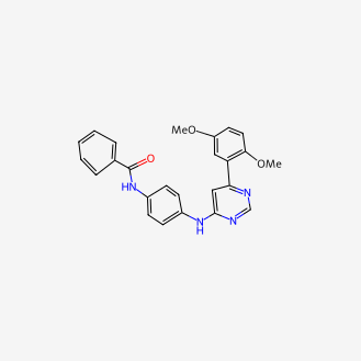 COc1ccc(OC)c(-c2cc(Nc3ccc(NC(=O)c4ccccc4)cc3)ncn2)c1